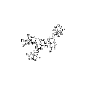 CCc1c(F)ccc2cc(OC(=O)C34CC5CC(CC(C5)C3)C4)cc(N3CCc4c(nc(OC[C@@]56CCCN5C[C@H](F)C6)nc4N4CCC[C@]5(C4)NC(=O)NC5=O)C3)c12